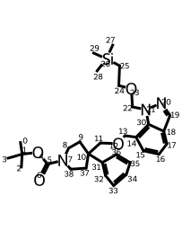 CC(C)(C)OC(=O)N1CCC(COCc2cccc3cnn(COCC[Si](C)(C)C)c23)(c2ccccc2)CC1